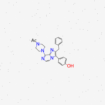 CC(=O)N1CCN(c2nccn3c(-c4ccc(O)cc4)c(Cc4ccccc4)nc23)CC1